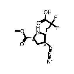 COC(=O)[C@@H]1C[C@H](N=[N+]=[N-])CN1.O=C(O)C(F)(F)F